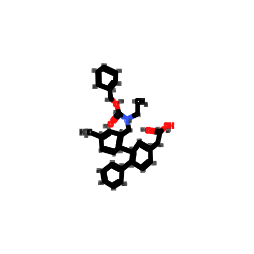 CCN(Cc1cc(C)ccc1-c1cc(CC(=O)O)ccc1-c1ccccc1)C(=O)OCc1ccccc1